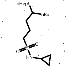 CCCCCCCC(CCCC)CCCS(=O)(=O)NC1CC1